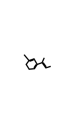 C/C=C(\C)C1=CCCC(C)=C1